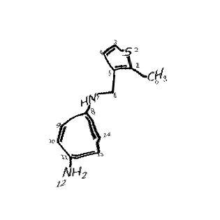 Cc1sccc1CNc1ccc(N)cc1